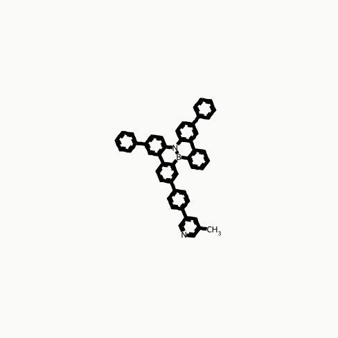 Cc1cncc(-c2ccc(-c3ccc4c(c3)B3c5ccccc5-c5cc(-c6ccccc6)ccc5N3c3ccc(-c5ccccc5)cc3-4)cc2)c1